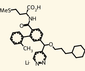 CSCC[C@H](NC(=O)c1ccc(C(OCCCC2CCCCC2)c2ccnnc2)cc1-c1ccccc1C)C(=O)O.[Li]